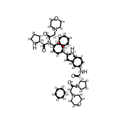 O=C(Nc1ccc2[nH]c(-c3ccc(N(C(=O)[C@@H]4CCCN4)C(=O)[C@@H](c4ccccc4)N4CCOCC4)cc3)cc2c1)[C@@H]1CCCN1C(=O)[C@@H](c1ccccc1)N1CCOCC1